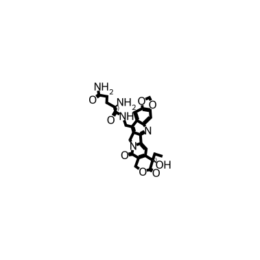 CC[C@@]1(O)C(=O)OCc2c1cc1n(c2=O)Cc2c-1nc1cc3c(cc1c2CNC(=O)[C@@H](N)CCC(N)=O)OCO3